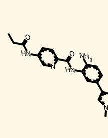 CCC(=O)Nc1ccc(C(=O)Nc2cc(-c3cnn(C)c3)ccc2N)nc1